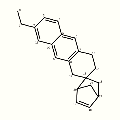 CCc1ccc2cc3c(cc2c1)CC1(CC3)CC2C=CC1C2